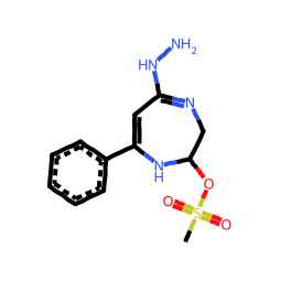 CS(=O)(=O)OC1CN=C(NN)C=C(c2ccccc2)N1